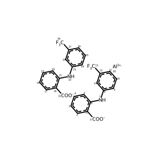 O=C([O-])c1ccccc1Nc1cccc(C(F)(F)F)c1.O=C([O-])c1ccccc1Nc1cccc(C(F)(F)F)c1.[Al+2]